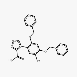 CC(C)c1cc(-n2cnnc2C(N)=O)c(OCc2ccccc2)cc1OCc1ccccc1